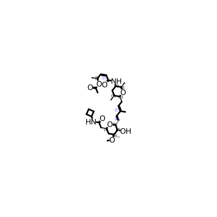 CO[C@@]1(C)C[C@@H](CC(=O)NC2CCC2)O[C@H](/C=C/C(C)=C/C[C@@H]2O[C@H](C)[C@H](NC(=O)/C=C\[C@H](C)OC(C)=O)C[C@@H]2C)[C@H]1O